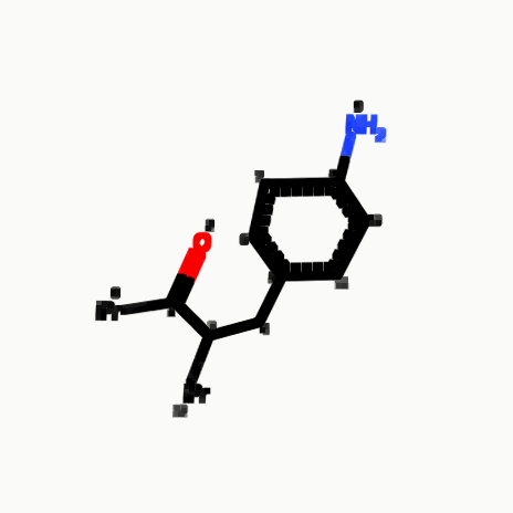 CC(C)C(=O)C(Cc1ccc(N)cc1)C(C)C